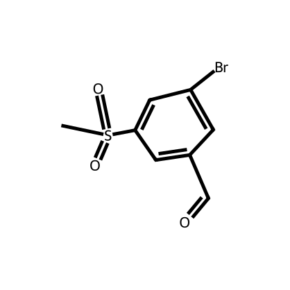 CS(=O)(=O)c1cc(Br)cc(C=O)c1